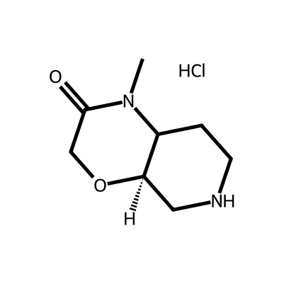 CN1C(=O)CO[C@@H]2CNCCC21.Cl